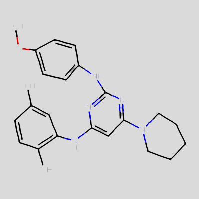 COc1ccc(Nc2nc(Nc3cc(C)ccc3C)cc(N3CCCCC3)n2)cc1